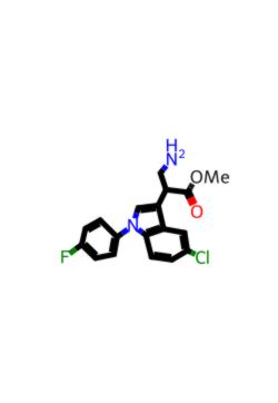 COC(=O)C(CN)c1cn(-c2ccc(F)cc2)c2ccc(Cl)cc12